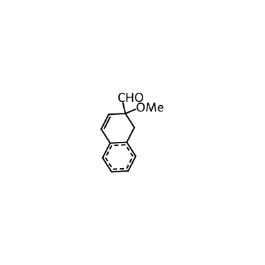 COC1(C=O)C=Cc2ccccc2C1